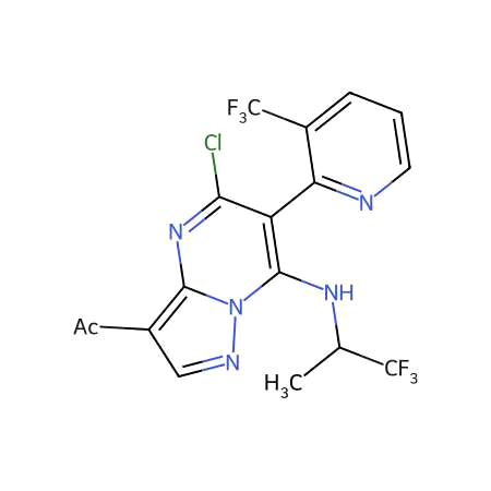 CC(=O)c1cnn2c(NC(C)C(F)(F)F)c(-c3ncccc3C(F)(F)F)c(Cl)nc12